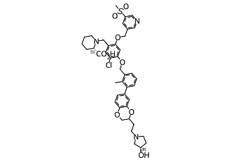 Cc1c(COc2cc(OCc3cncc(S(C)(=O)=O)c3)c(CN3CCCC[C@H]3C(=O)O)cc2Cl)cccc1-c1ccc2c(c1)OC(CCN1CC[C@@H](O)C1)CO2